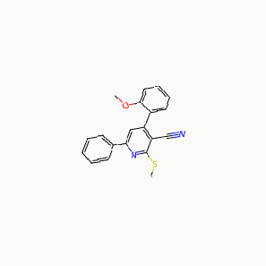 COc1ccccc1-c1cc(-c2ccccc2)nc(SC)c1C#N